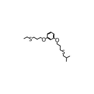 CCSCCCOc1cccc(OCCCSCC(C)C)c1